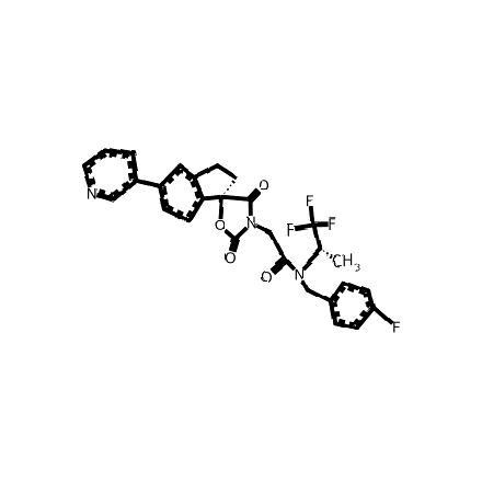 C[C@H](N(Cc1ccc(F)cc1)C(=O)CN1C(=O)O[C@]2(CCc3cc(-c4cccnc4)ccc32)C1=O)C(F)(F)F